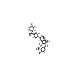 CC(c1c(Cl)ccc(F)c1Cl)c1c[nH]c2ncc(-c3ccc(C(=O)N4CCN(C)CC4)cc3)cc12